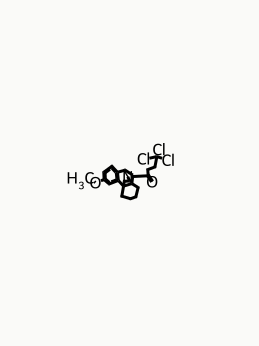 COc1ccc2c(c1)C13CCCCC1C(C2)N(C(=O)CCC(Cl)(Cl)Cl)CC3